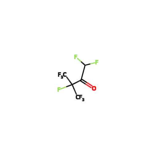 O=C(C(F)F)C(F)(C(F)(F)F)C(F)(F)F